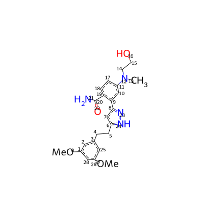 COc1cc(CCc2cc(-c3cc(N(C)CCO)ccc3C(N)=O)n[nH]2)cc(OC)c1